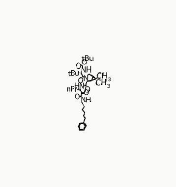 CCCC(NC(=O)C1C2C(CN1C(=O)[C@@H](NC(=O)OC(C)(C)C)C(C)(C)C)C2(C)C)C(=O)C(=O)NCCCCCCc1ccccc1